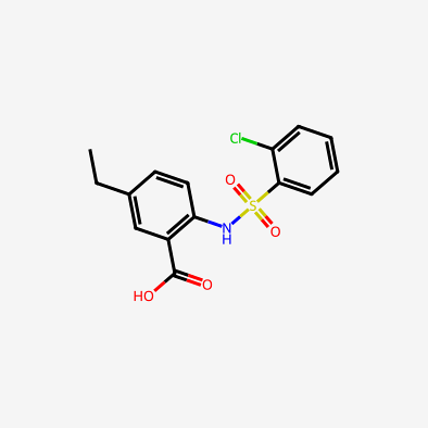 CCc1ccc(NS(=O)(=O)c2ccccc2Cl)c(C(=O)O)c1